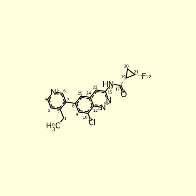 CCc1ccncc1-c1cc(Cl)c2nnc(NC(=O)[C@@H]3C[C@@H]3F)cc2c1